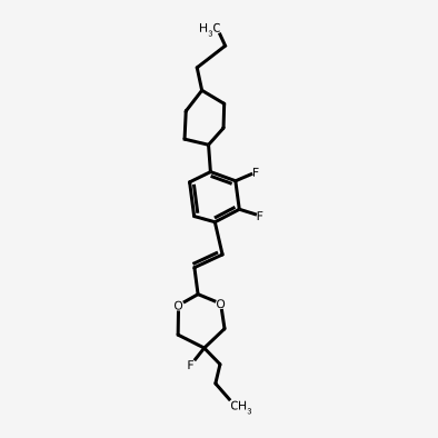 CCCC1CCC(c2ccc(/C=C/C3OCC(F)(CCC)CO3)c(F)c2F)CC1